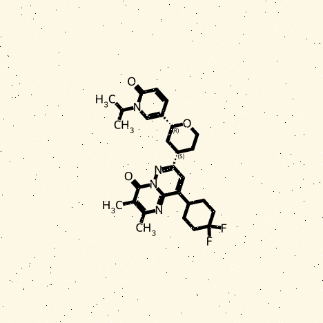 Cc1nc2c(C3CCC(F)(F)CC3)cc([C@H]3CCO[C@@H](c4ccc(=O)n(C(C)C)c4)C3)nn2c(=O)c1C